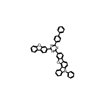 c1ccc(-c2ccc(-c3nc(-c4ccc5c(c4)oc4ccccc45)nc(-c4ccc5c(c4)oc4c5ccc5c4c4ccccc4n5-c4ccccc4)n3)cc2)cc1